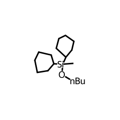 CCCCO[Si](C)(C1CCCCC1)C1CCCCC1